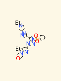 CCc1cc(-c2cnc3c(n2)c(-c2cnn(C4CCN(CC)CC4)c2)cn3S(=O)(=O)c2ccccc2)cnc1N1CCOCC1